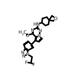 COc1nc(NC2CCC3(CC2)COC3)nn2ccc(-c3ccc4nnn(CC(F)F)c4c3)c12